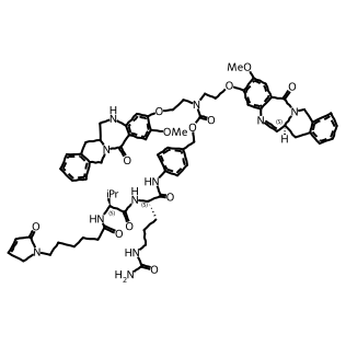 COc1cc2c(cc1OCCN(CCOc1cc3c(cc1OC)C(=O)N1Cc4ccccc4CC1CN3)C(=O)OCc1ccc(NC(=O)[C@H](CCCNC(N)=O)NC(=O)[C@@H](NC(=O)CCCCCN3CC=CC3=O)C(C)C)cc1)N=C[C@@H]1Cc3ccccc3CN1C2=O